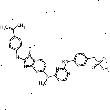 C=C(C)c1ccc(Nc2nc3cc(N(C)c4ccnc(Nc5ccc(CS(N)(=O)=O)cc5)n4)ccc3n2C)cc1